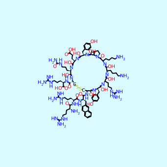 N=C(N)NCCCC1N=C(O)[C@@H](Cc2ccc(O)cc2)N=C(O)C(NC(=O)[C@@H](Cc2ccc3ccccc3c2)NC(=O)[C@H](CCCNC(=N)N)NC(=O)[C@H](N)CCCNC(=N)N)CSSC[C@H](C(=O)N[C@H](CCCNC(=N)N)C(=O)O)N=C(O)[C@@H](CCCNC(N)=O)N=C(O)[C@@H](CCC(=O)O)N=C(O)[C@@H](Cc2ccc(O)cc2)N=C(O)[C@@H]2CCCN2C(=O)C(CCCCN)N=C(O)C(CCCCN)N=C1O